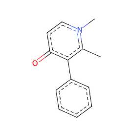 Cc1c(-c2ccccc2)c(=O)ccn1C